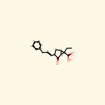 CCC1(C(=O)O)C2CC(C=CCc3ccccc3)C(=O)C21